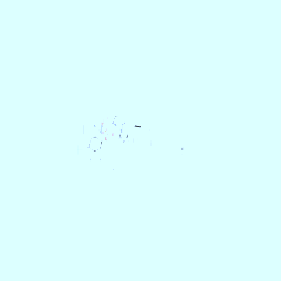 COc1cc(C(=O)O)c(F)cc1NS(=O)(=O)c1csc(C#CC2CCCCC(C3CCCCCCCCC3)CCCC2)n1